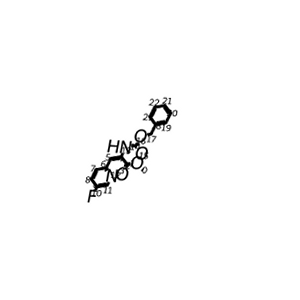 COC(=O)/C(=C\c1ccc(F)cn1)NC(=O)OCc1ccccc1